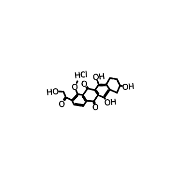 COc1c(C(=O)CO)ccc2c1C(=O)c1c(O)c3c(c(O)c1C2=O)CC(O)CC3.Cl